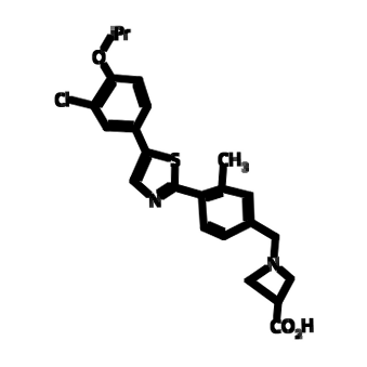 Cc1cc(CN2CC(C(=O)O)C2)ccc1-c1ncc(-c2ccc(OC(C)C)c(Cl)c2)s1